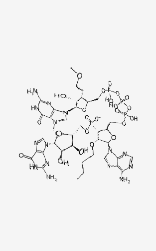 CCCCO[C@H]1[C@H](n2cnc3c(N)ncnc32)OC(COP(=O)(O)OP(=O)(O)OP(=O)(O)OC[C@H]2O[C@@H](n3c[n+](C)c4c(=O)[nH]c(N)nc43)[C@H](O)[C@@H]2CCOC)[C@H]1P(=O)([O-])OC[C@H]1O[C@@H](n2cnc3c(=O)[nH]c(N)nc32)[C@H](O)[C@@H]1O